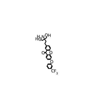 NC(CO)(CO)CCc1ccc2oc3cc(Oc4cccc(C(F)(F)F)c4)ccc3c(=O)c2c1